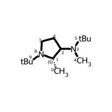 C[C@H]1C(N(C)C(C)(C)C)CCN1C(C)(C)C